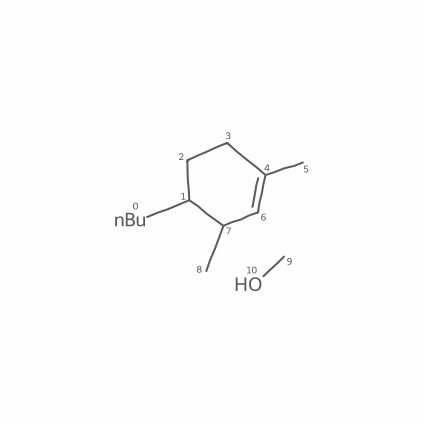 CCCCC1CCC(C)=CC1C.CO